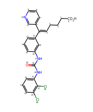 O=C(O)CCC/C=C(\c1cccnc1)c1cccc(NC(=O)Nc2cccc(Cl)c2Cl)c1